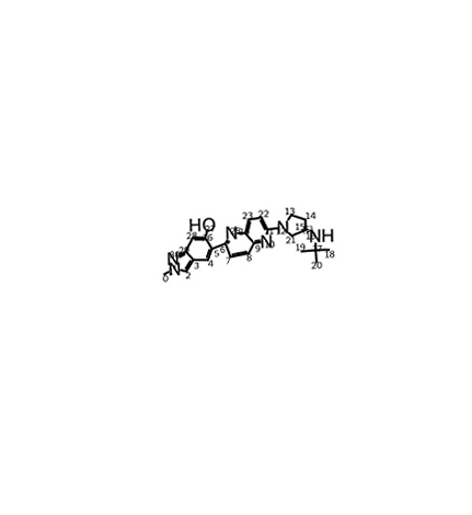 Cn1cc2cc(-c3ccc4nc(N5CC[C@H](NC(C)(C)C)C5)ccc4n3)c(O)cc2n1